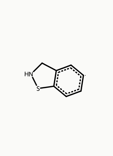 [c]1ccc2c(c1)CNS2